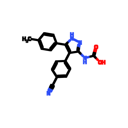 Cc1ccc(-c2[nH]nc(NC(=O)O)c2-c2ccc(C#N)cc2)cc1